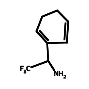 NC(C1=CCCC=C1)C(F)(F)F